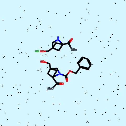 COC(=O)C12CC(CO)(CN1)C2.COC(=O)C12CC(CO)(CN1C(=O)OCc1ccccc1)C2.Cl